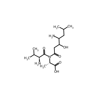 CC(C)CC(N)C(O)CC(=O)N(C(=O)[C@@H](N)C(C)C)[C@@H](C)C(=O)O